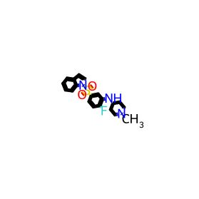 CN1CCC(Nc2cc(S(=O)(=O)n3ccc4ccccc43)ccc2F)CC1